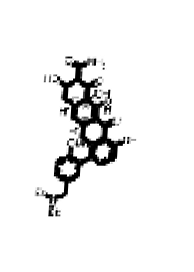 CCN(CC)Cc1ccc(OC)c(-c2ccc(O)c3c2C[C@H]2C[C@H]4CC(O)C(C(N)=O)C(=O)[C@@]4(O)C(O)=C2C3=O)c1